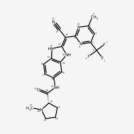 Cc1cc(C(F)(F)F)nc(C(C#N)=C2Nc3ccc(NC(=O)[C@@H]4CCCN4C)cc3N2)n1